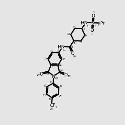 CC(C)S(=O)(=O)NC1CCC(C(=O)Nc2ccc3c(c2)C(=O)N(c2ccc(C(F)(F)F)cc2)C3=O)CC1